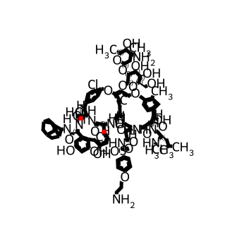 CN[C@H](CC(C)C)C(=O)N[C@H]1C(=O)N[C@@H](CC(=O)NS(=O)(=O)c2ccc(OCCCN)cc2)C(=O)N[C@H]2C(=O)N[C@H]3C(=O)N[C@H](C(=O)N[C@H](C(=O)NC4C5CC6CC(C5)CC4C6)c4cc(O)cc(O)c4-c4cc3ccc4O)[C@H](O)c3ccc(c(Cl)c3)Oc3cc2cc(c3O[C@@H]2O[C@H](CO)[C@@H](O)[C@H](O)[C@H]2O[C@H]2C[C@](C)(N)[C@H](O)[C@H](C)O2)Oc2ccc(cc2C)[C@H]1O